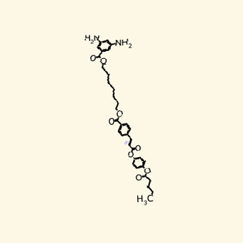 CCCCC(=O)Oc1ccc(OC(=O)/C=C/c2ccc(C(=O)OCCCCCCCOC(=O)c3cc(N)cc(N)c3)cc2)cc1